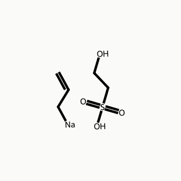 C=C[CH2][Na].O=S(=O)(O)CCO